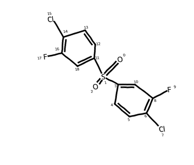 O=S(=O)(c1ccc(Cl)c(F)c1)c1ccc(Cl)c(F)c1